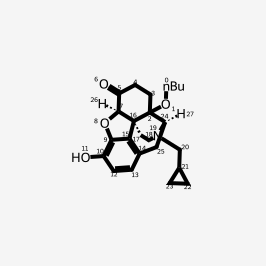 CCCCOC12CCC(=O)[C@@H]3Oc4c(O)ccc5c4[C@@]31CCN(CC1CC1)[C@@H]2C5